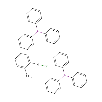 Cc1cccc[c]1[Ni][Br].c1ccc(P(c2ccccc2)c2ccccc2)cc1.c1ccc(P(c2ccccc2)c2ccccc2)cc1